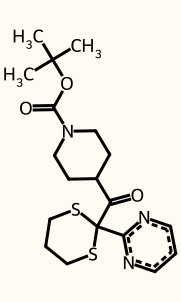 CC(C)(C)OC(=O)N1CCC(C(=O)C2(c3ncccn3)SCCCS2)CC1